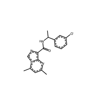 Cc1cc(C)n2cnc(C(=O)NC(C)c3cccc(Cl)c3)c2n1